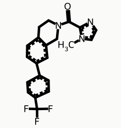 Cn1ccnc1C(=O)N1CCc2ccc(-c3ccc(C(F)(F)F)cc3)cc2C1